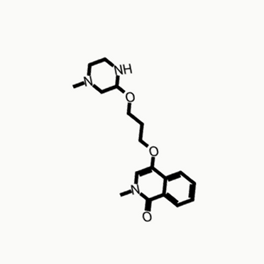 CN1CCNC(OCCCOc2cn(C)c(=O)c3ccccc23)C1